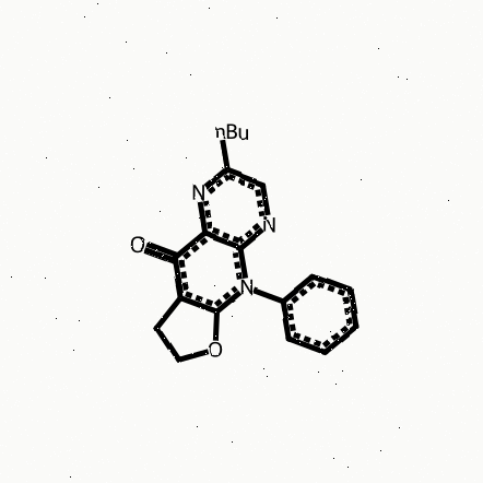 CCCCc1cnc2c(n1)c(=O)c1c(n2-c2ccccc2)OCC1